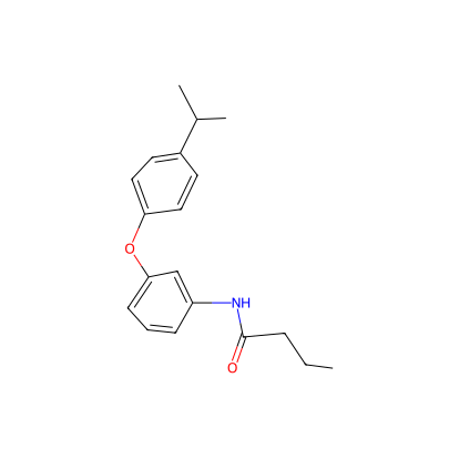 CCCC(=O)Nc1cccc(Oc2ccc(C(C)C)cc2)c1